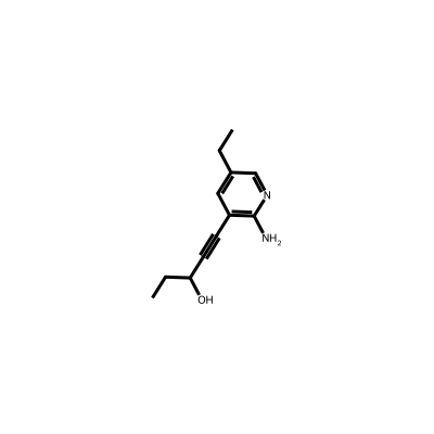 CCc1cnc(N)c(C#CC(O)CC)c1